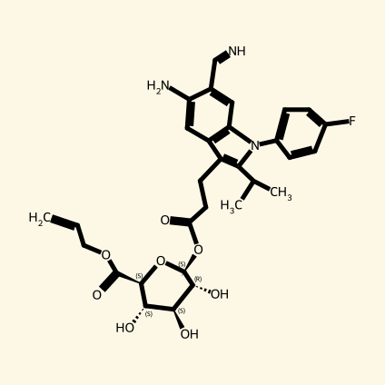 C=CCOC(=O)[C@H]1O[C@@H](OC(=O)CCc2c(C(C)C)n(-c3ccc(F)cc3)c3cc(C=N)c(N)cc23)[C@H](O)[C@@H](O)[C@@H]1O